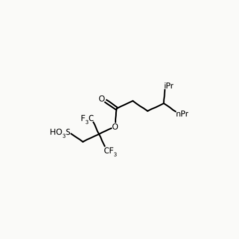 CCCC(CCC(=O)OC(CS(=O)(=O)O)(C(F)(F)F)C(F)(F)F)C(C)C